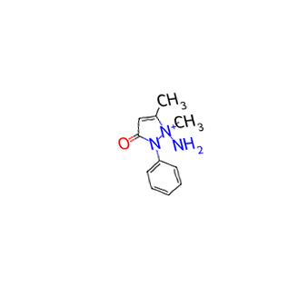 CC1=CC(=O)N(c2ccccc2)[N+]1(C)N